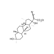 CCOC(=O)C(=[N+]=[N-])C1(O)C[C@@H](C)[C@H]2[C@@H]3CC[C@H]4C[C@](C)(O)CC[C@@H]4[C@H]3CC[C@@]21C